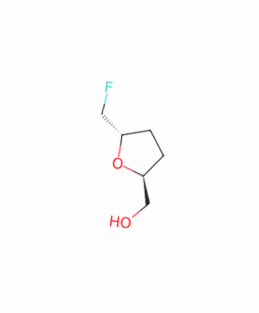 OC[C@@H]1CC[C@@H](CF)O1